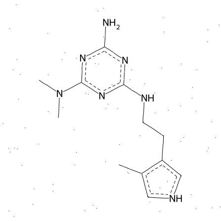 Cc1c[nH]cc1CCNc1nc(N)nc(N(C)C)n1